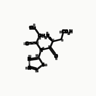 CC(C)(C)OC(=O)N(C(=O)[C@@H](N)CC(=O)O)c1nncs1